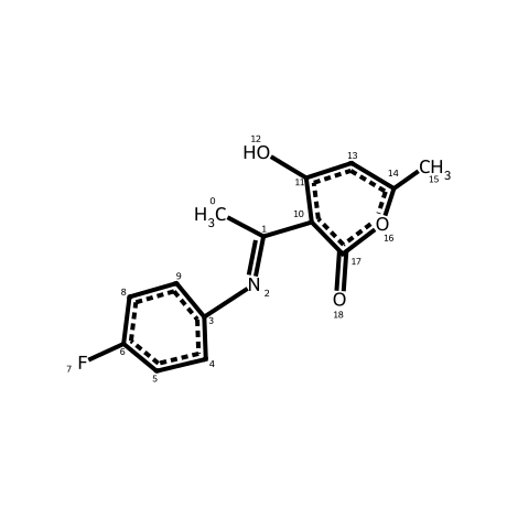 CC(=Nc1ccc(F)cc1)c1c(O)cc(C)oc1=O